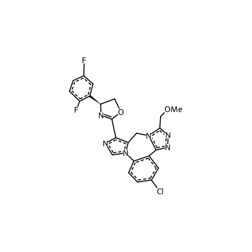 COCc1nnc2n1Cc1c(C3=N[C@@H](c4cc(F)ccc4F)CO3)ncn1-c1ccc(Cl)cc1-2